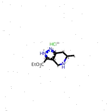 CCOC(=O)c1[nH]nc2c1CNC(C)C2.Cl